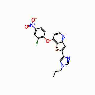 CCCn1cnc(-c2cc3nccc(Oc4ccc([N+](=O)[O-])cc4F)c3s2)c1